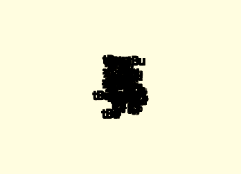 CC(C)(C)c1cc(-c2cc3c4c(c2)N(c2cc(-c5ccccc5)ccc2-c2ccccc2)c2ccc(-c5ccccc5)cc2B4c2cc(-c4cc(-n5c6ccc(C(C)(C)C)cc6c6cc(C(C)(C)C)ccc65)cc(-n5c6ccccc6c6ccc7sc8ccccc8c7c65)n4)ccc2N3c2ccccc2-c2ccccc2)cc(C(C)(C)C)c1